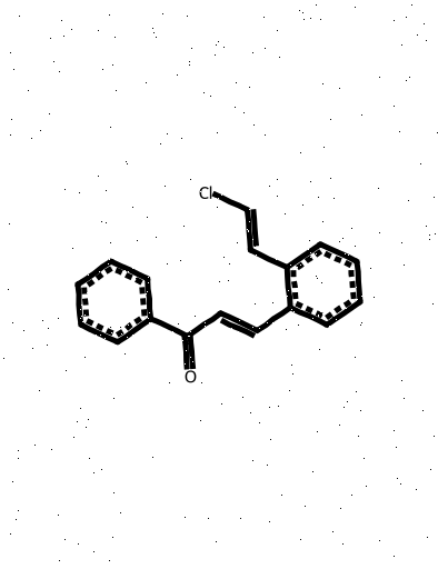 O=C(C=Cc1ccccc1C=CCl)c1ccccc1